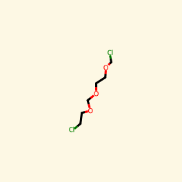 ClCCOCOCCOCCl